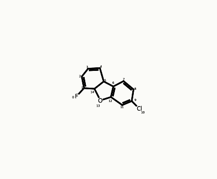 FC1=CC=CC2c3ccc(Cl)cc3OC12